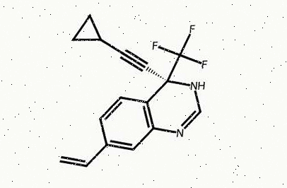 C=Cc1ccc2c(c1)N=CN[C@]2(C#CC1CC1)C(F)(F)F